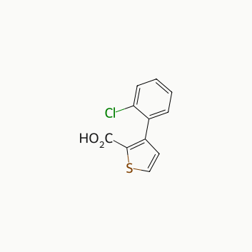 O=C(O)c1sccc1-c1ccccc1Cl